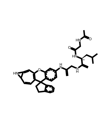 C=C(CNC(=C)[C@H](CC(C)C)NC(=O)CNC(C)=O)Nc1ccc2c(c1)OC1=C(C=CC3NC3=C1)C21CCc2ccccc21